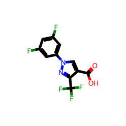 O=C(O)c1cn(-c2cc(F)cc(F)c2)nc1C(F)(F)F